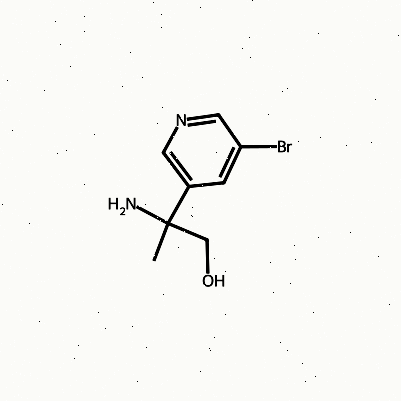 CC(N)(CO)c1cncc(Br)c1